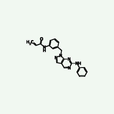 C=CC(=O)Nc1cccc(Cn2ncc3cnc(Nc4ccccc4)nc32)c1